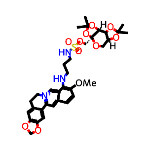 COc1ccc2cc3[n+](cc2c1NCCCNS(=O)(=O)OC[C@@]12OC[C@H]4OC(C)(C)OC4[C@@H]1OC(C)(C)O2)CCc1cc2c(cc1-3)OCO2